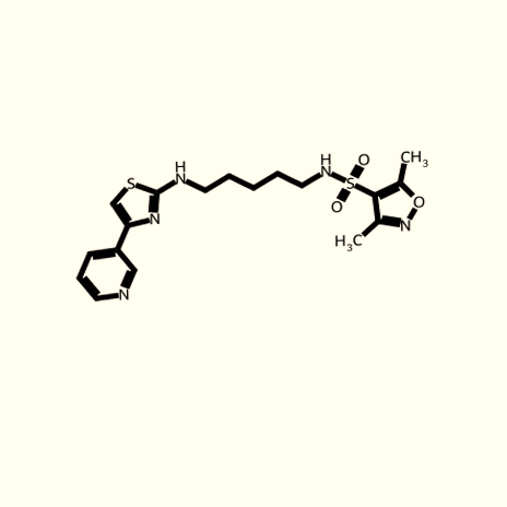 Cc1noc(C)c1S(=O)(=O)NCCCCCNc1nc(-c2cccnc2)cs1